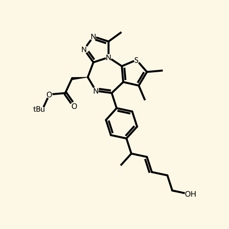 Cc1sc2c(c1C)C(c1ccc(C(C)/C=C/CCO)cc1)=N[C@@H](CC(=O)OC(C)(C)C)c1nnc(C)n1-2